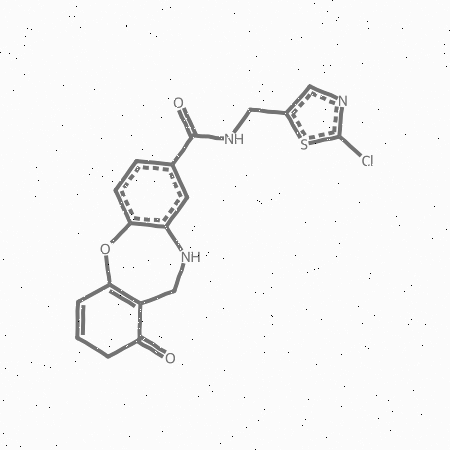 O=C1CC=CC2=C1CNc1cc(C(=O)NCc3cnc(Cl)s3)ccc1O2